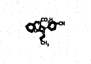 CC=CN1C(=O)[C@H](N(Cc2ccccc2)C(=O)O)[C@@H]1c1ccc(C#N)cc1